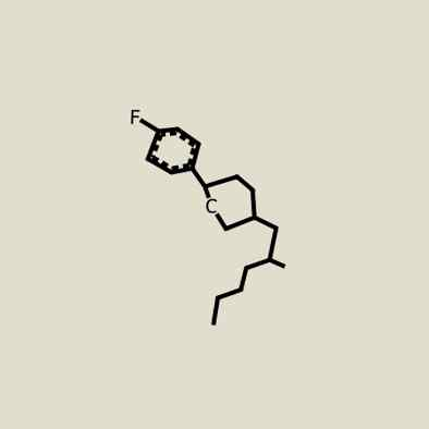 CCCCC(C)CC1CCC(c2ccc(F)cc2)CC1